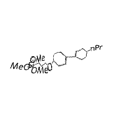 CCCC1CCC(C2CCC(OCCC[Si](OC)(OC)OC)CC2)CC1